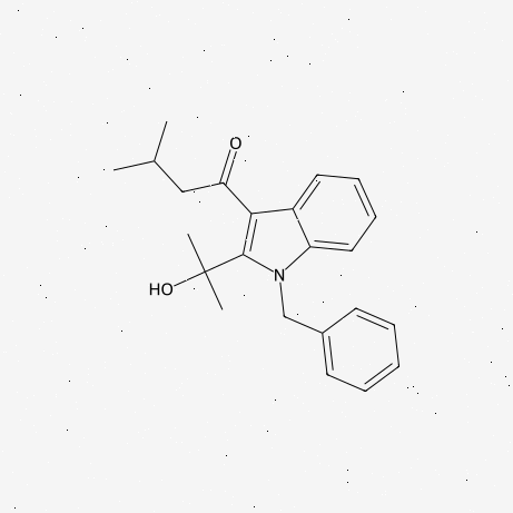 CC(C)CC(=O)c1c(C(C)(C)O)n(Cc2ccccc2)c2ccccc12